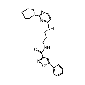 O=C(NCCCNc1ccnc(N2CCCCC2)n1)c1cc(-c2ccccc2)on1